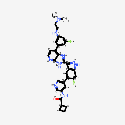 CN(C)CCNc1cc(F)cc(-c2ccnc3[nH]c(-c4n[nH]c5cc(F)c(-c6cncc(NC(=O)C7CCC7)c6)cc45)nc23)c1